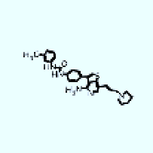 Cc1cccc(NC(=O)Nc2ccc(-c3csc4c(C=CCN5CCCCC5)cnc(N)c34)cc2)c1